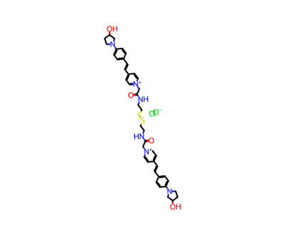 O=C(C[n+]1ccc(C=Cc2ccc(N3CCC(O)C3)cc2)cc1)NCCSSCCNC(=O)C[n+]1ccc(C=Cc2ccc(N3CCC(O)C3)cc2)cc1.[Cl-].[Cl-]